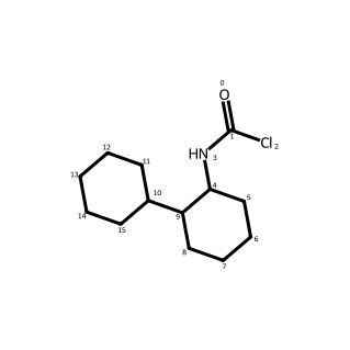 O=C(Cl)NC1CCCCC1C1CCCCC1